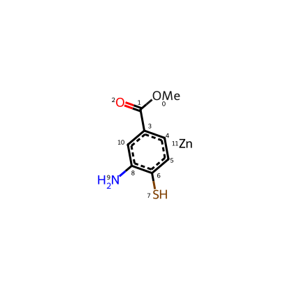 COC(=O)c1ccc(S)c(N)c1.[Zn]